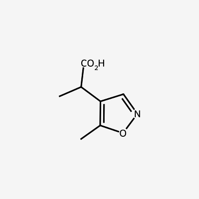 Cc1oncc1C(C)C(=O)O